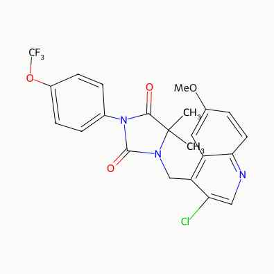 COc1ccc2ncc(Cl)c(CN3C(=O)N(c4ccc(OC(F)(F)F)cc4)C(=O)C3(C)C)c2c1